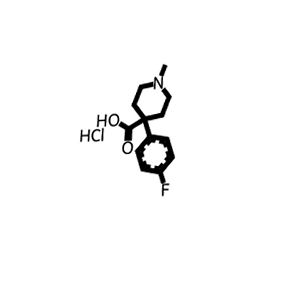 CN1CCC(C(=O)O)(c2ccc(F)cc2)CC1.Cl